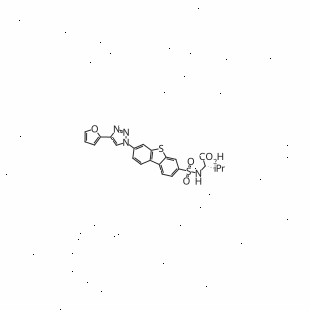 CC(C)[C@H](NS(=O)(=O)c1ccc2c(c1)sc1cc(-n3cc(-c4ccco4)nn3)ccc12)C(=O)O